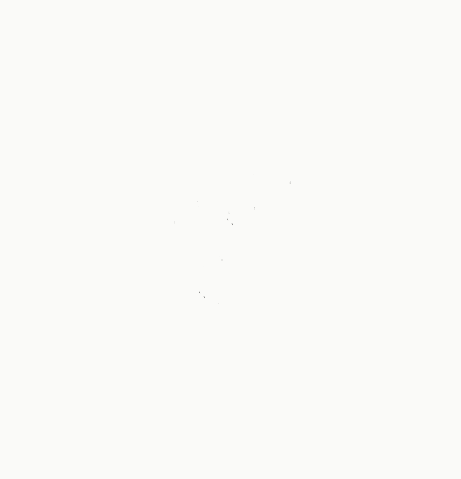 NC1CCCN(C2CCC2)C1